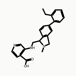 CCc1ccccc1-c1ccc2c(c1)CN(C)C2CNc1cnccc1C(=O)O